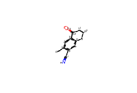 Cc1cc2c(cc1C#N)CCCC2=O